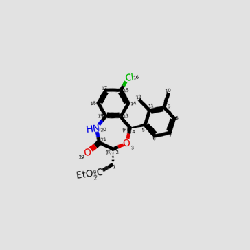 CCOC(=O)C[C@H]1O[C@H](c2cccc(C)c2C)c2cc(Cl)ccc2NC1=O